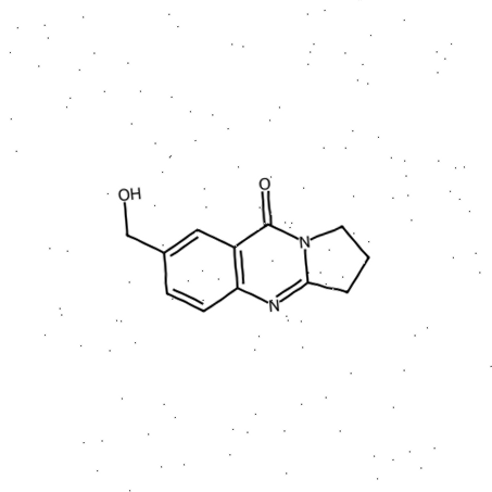 O=c1c2cc(CO)ccc2nc2n1CCC2